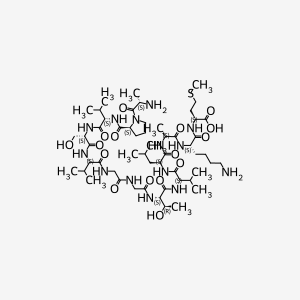 CSCC[C@H](NC(=O)[C@H](CCCCN)NC(=O)[C@H](C)NC(=O)[C@H](CC(C)C)NC(=O)[C@@H](NC(=O)[C@@H](NC(=O)CNC(=O)CNC(=O)[C@@H](NC(=O)[C@H](CO)NC(=O)[C@@H](NC(=O)[C@@H]1CCCN1C(=O)[C@H](C)N)C(C)C)C(C)C)[C@@H](C)O)C(C)C)C(=O)O